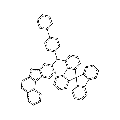 c1ccc(-c2ccc(N(c3cc4oc5ccc6ccccc6c5c4cn3)c3cccc4c3-c3ccccc3C43c4ccccc4-c4ccccc43)cc2)cc1